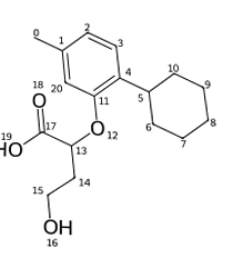 Cc1ccc(C2CCCCC2)c(OC(CCO)C(=O)O)c1